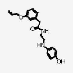 C=CCOc1cccc(CC(=O)NCCNc2ccc(O)cc2)c1